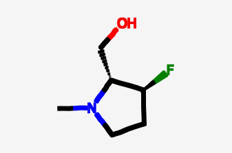 CN1CC[C@H](F)[C@H]1CO